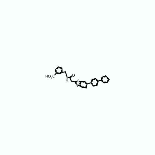 O=C(Cc1nc2ccc(-c3ccc(-c4ccccc4)cc3)cc2s1)NCc1cccc(C(=O)O)c1